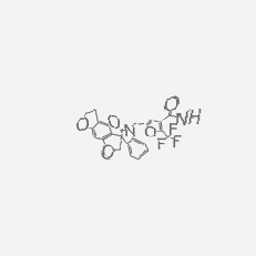 CNC(=O)c1cc(CN2C(=O)C3(COc4cc5c(cc43)CCO5)c3ccccc32)oc1C(F)(F)F